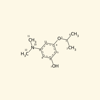 CC(C)Oc1cc(O)cc(N(C)C)c1